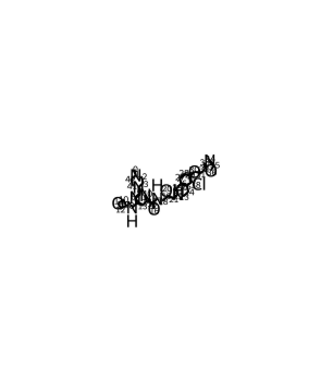 CN1CCN(c2nc(NC3COC3)cc(C(=O)NC[C@H](O)CN3CCc4c(ccc(OCc5cnco5)c4Cl)C3)n2)CC1